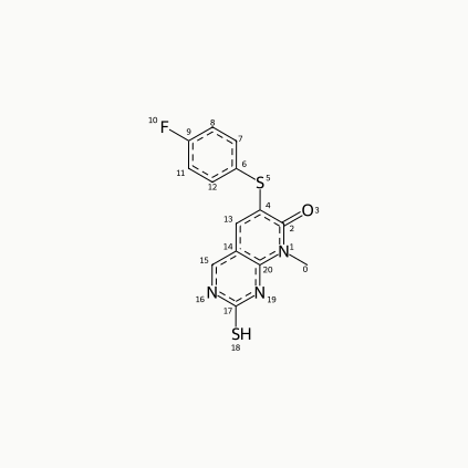 Cn1c(=O)c(Sc2ccc(F)cc2)cc2cnc(S)nc21